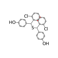 Oc1ccc(C(SC(c2ccc(O)cc2)c2ccccc2Cl)c2ccccc2Cl)cc1